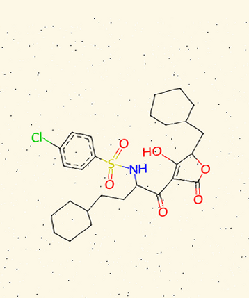 O=C1OC(CC2CCCCC2)C(O)=C1C(=O)C(CCC1CCCCC1)NS(=O)(=O)c1ccc(Cl)cc1